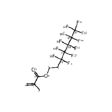 C=C(C)C(=O)OCCC(F)(F)C(F)(F)C(F)(F)C(F)(F)C(F)(F)F